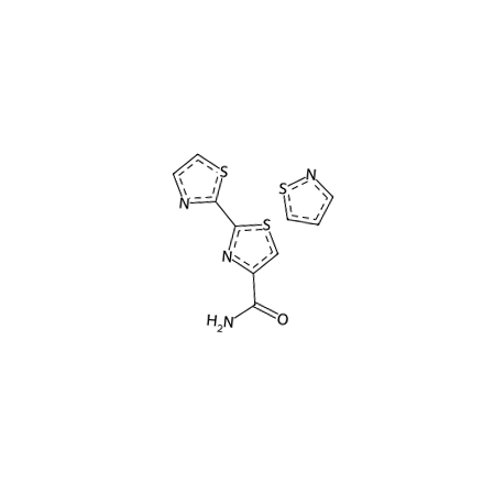 NC(=O)c1csc(-c2nccs2)n1.c1cnsc1